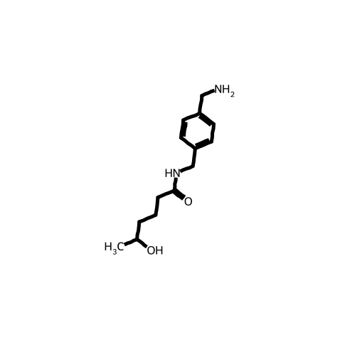 CC(O)CCCC(=O)NCc1ccc(CN)cc1